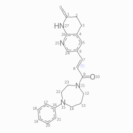 C=C1CCc2cc(/C=C/C(=O)N3CCCN(c4ccccc4)CC3)cnc2N1